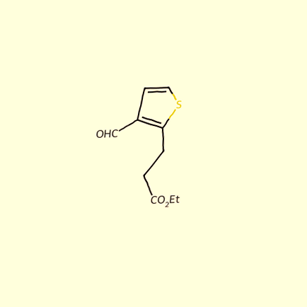 CCOC(=O)CCc1sccc1C=O